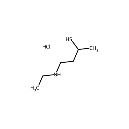 CCNCCC(C)S.Cl